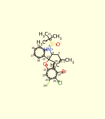 C=C(C)CC(N[S@+]([O-])C(C)(C)C)C1(c2ccccc2)Cc2c(cc(F)c(Cl)c2Br)O1